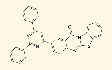 O=c1c2cc(-c3nc(-c4ccccc4)nc(-c4ccccc4)n3)ccc2nc2sc3ccccc3n12